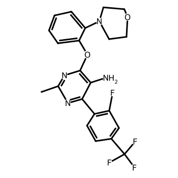 Cc1nc(Oc2ccccc2N2CCOCC2)c(N)c(-c2ccc(C(F)(F)F)cc2F)n1